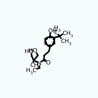 CCN(C(=O)CCc1ccc(O)c(C(C)(C)C)c1)C(C)(CO)CO